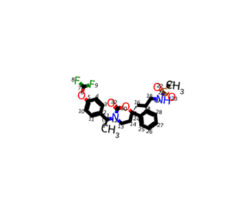 C[C@@H](c1ccc(OC(F)F)cc1)N1CC[C@](CCCNS(C)(=O)=O)(c2ccccc2)OC1=O